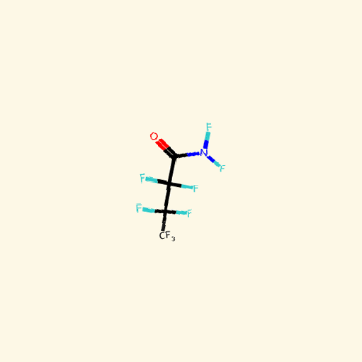 O=C(N(F)F)C(F)(F)C(F)(F)C(F)(F)F